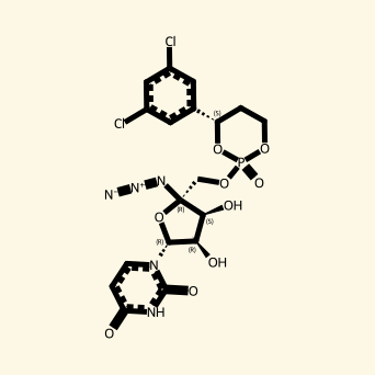 [N-]=[N+]=N[C@]1(COP2(=O)OCC[C@@H](c3cc(Cl)cc(Cl)c3)O2)O[C@@H](n2ccc(=O)[nH]c2=O)[C@H](O)[C@@H]1O